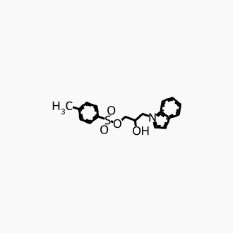 Cc1ccc(S(=O)(=O)OCC(O)Cn2ccc3ccccc32)cc1